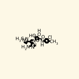 Cc1ccc(NC(=O)[C@H]2O[C@@H](n3cc(-c4ccn(C)n4)c4c(N)ncnc43)[C@H](O)[C@@H]2O)cc1Cl